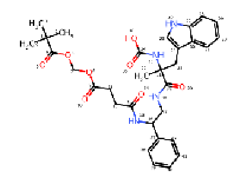 CC(C)(C)C(=O)OCOC(=O)CCC(=O)NC(CNC(=O)C(C)(Cc1c[nH]c2ccccc12)NC(=O)O)c1ccccc1